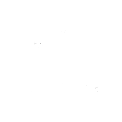 C/C=C(\N)C(c1ccccc1)c1ccc(Br)cc1